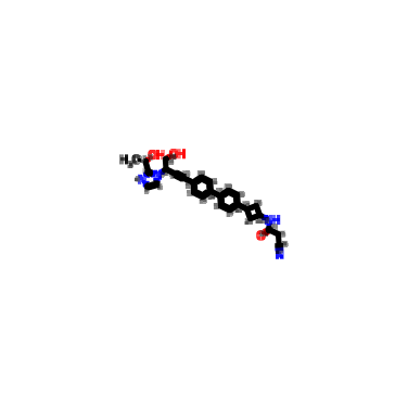 C[C@H](O)c1nccn1C(C#Cc1ccc(-c2ccc(C3CC(NC(=O)CC#N)C3)cc2)cc1)CO